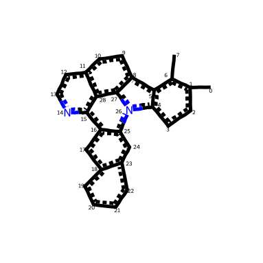 Cc1ccc2c(c1C)c1ccc3ccnc4c5cc6ccccc6cc5n2c1c34